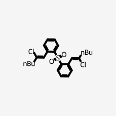 CCCCC(Cl)=Cc1ccccc1S(=O)(=O)c1ccccc1C=C(Cl)CCCC